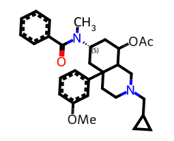 COc1cccc(C23CCN(CC4CC4)CC2C(OC(C)=O)C[C@@H](N(C)C(=O)c2ccccc2)C3)c1